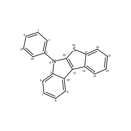 c1ccc(-n2c3ccccc3c3c4ccccc4sc32)cc1